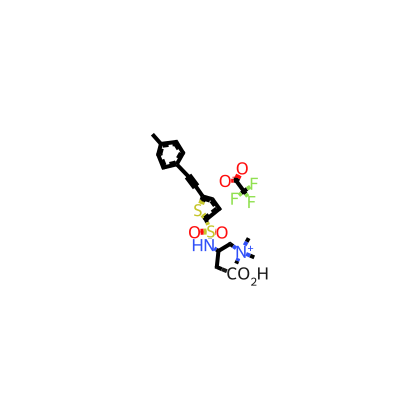 Cc1ccc(C#Cc2ccc(S(=O)(=O)NC(CC(=O)O)C[N+](C)(C)C)s2)cc1.O=C([O-])C(F)(F)F